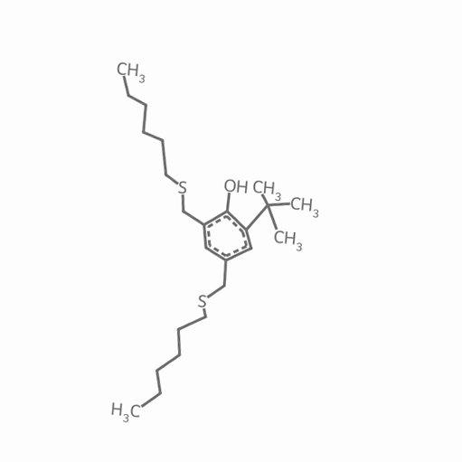 CCCCCCSCc1cc(CSCCCCCC)c(O)c(C(C)(C)C)c1